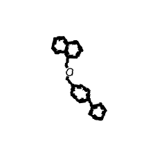 c1ccc(-c2ccc(COCc3cccc4ccccc34)cc2)cc1